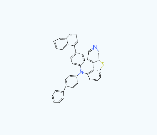 c1ccc(-c2ccc(N(c3ccc(-c4cccc5ccccc45)cc3)c3cccc4sc5cnccc5c34)cc2)cc1